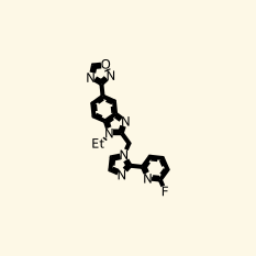 CCn1c(Cn2ccnc2-c2cccc(F)n2)nc2cc(-c3ncon3)ccc21